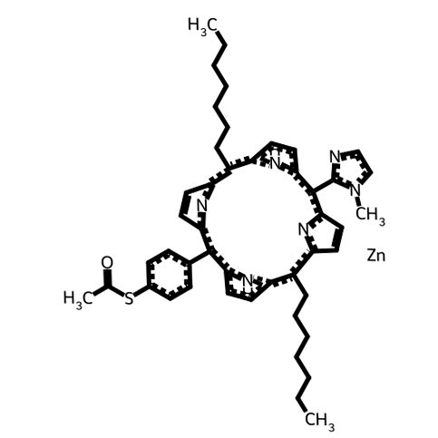 CCCCCCCc1c2nc(c(-c3nccn3C)c3ccc([nH]3)c(CCCCCCC)c3nc(c(-c4ccc(SC(C)=O)cc4)c4ccc1[nH]4)C=C3)C=C2.[Zn]